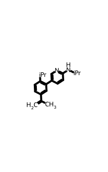 C=C(C)c1ccc(C(C)C)c(-c2ccc(NC(C)C)nc2)c1